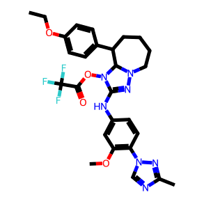 CCOc1ccc(C2CCCCN3N=C(Nc4ccc(-n5cnc(C)n5)c(OC)c4)N(OC(=O)C(F)(F)F)C23)cc1